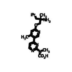 Cc1cc(OC[C@@](C)(N)CC(C)C)ncc1-c1ccnc(N(C)C(=O)O)n1